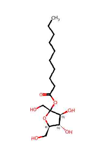 CCCCCCCCCC(=O)OC1(CO)O[C@H](CO)[C@@H](O)[C@@H]1O